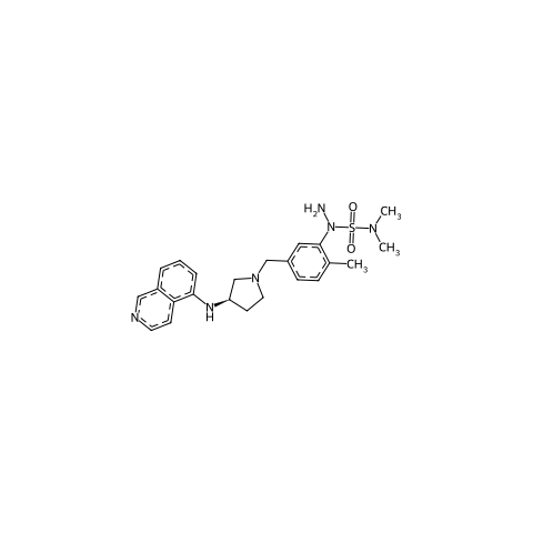 Cc1ccc(CN2CC[C@@H](Nc3cccc4cnccc34)C2)cc1N(N)S(=O)(=O)N(C)C